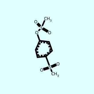 CS(=O)(=O)Oc1ccc(S(C)(=O)=O)cc1